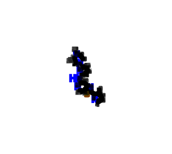 Cc1cccnc1-c1nc2cc(Nc3cccc(N4CCN(C)[C@@H](C)C4)n3)ncc2s1